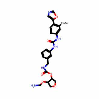 COc1cc(NC(=O)Nc2cccc(CNC(=O)OC3COCC3OCN)c2)ccc1-c1cnco1